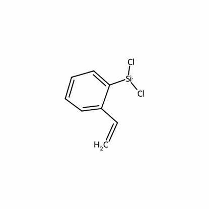 C=Cc1ccccc1[Si](Cl)Cl